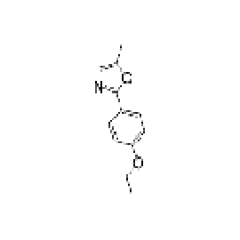 CCOc1ccc(-c2ncc(C)o2)cc1